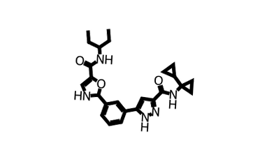 CCC(CC)NC(=O)C1=CNC(c2cccc(-c3cc(C(=O)NC4(C5CC5)CC4)n[nH]3)c2)O1